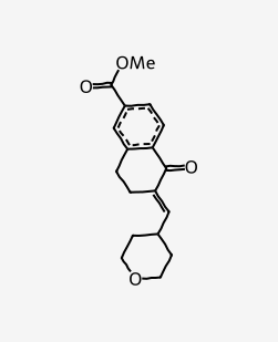 COC(=O)c1ccc2c(c1)CC/C(=C\C1CCOCC1)C2=O